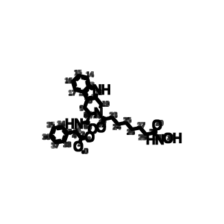 COC(=O)[C@@H](NC(=O)[C@H]1Cc2c([nH]c3ccccc23)CN1C(=O)CCCCCCC(=O)NO)c1ccccc1